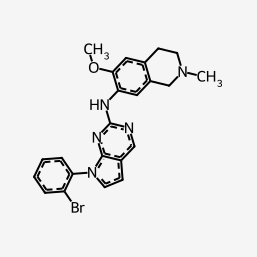 COc1cc2c(cc1Nc1ncc3ccn(-c4ccccc4Br)c3n1)CN(C)CC2